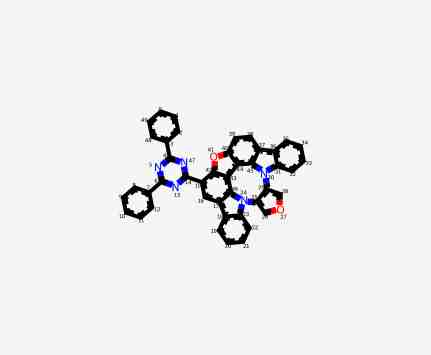 c1ccc(-c2nc(-c3ccccc3)nc(-c3cc4c5ccccc5n5c6cocc6n6c7ccccc7c7ccc8oc3c(c8c76)c45)n2)cc1